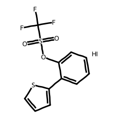 I.O=S(=O)(Oc1ccccc1-c1cccs1)C(F)(F)F